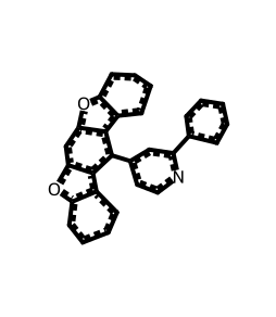 c1ccc(-c2cc(-c3c4c(cc5oc6ccccc6c35)oc3ccccc34)ccn2)cc1